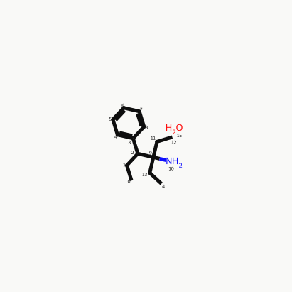 CCC(c1ccccc1)C(N)(CC)CC.O